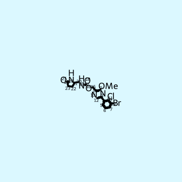 COc1nc(-c2cccc(Br)c2Cl)cnc1COC(=O)NCC1CCC(=O)N1